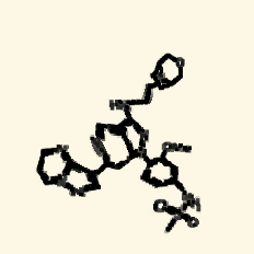 COc1cc(NS(C)(=O)=O)ccc1-n1nc(NCCN2C3CCC2COC3)c2cnc(-c3cnn4cccnc34)cc21